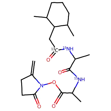 C=C1CCC(=O)N1OC(=O)C(C)[15NH]C(=O)C(C)[15NH][13C](=O)CC1C(C)CCCC1C